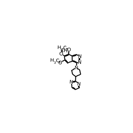 COc1cc2c(N3CCC(c4ncccn4)CC3)nncc2c(OC)c1OC